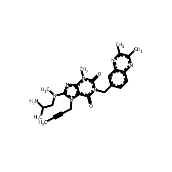 CC#CCn1c(N(C)CC(C)N)nc2c1c(=O)n(Cc1ccc3nc(C)c(C)nc3c1)c(=O)n2C